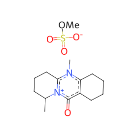 CC1CCCc2n(C)c3c(c(=O)[n+]21)CCCC3.COS(=O)(=O)[O-]